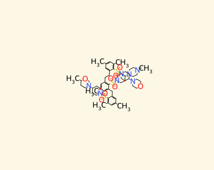 Cc1cc(C)c(S(=O)(=O)N2CCC(N3CCOCC3)CC2)c(CCc2cc(C)cc(Cc3cc(C)cc(C)c3S(=O)(=O)N3CCC(N4CCC(C)OC4)CC3)c2S(=O)(=O)N2CCC(N3CCN(C)CC3)CC2)c1